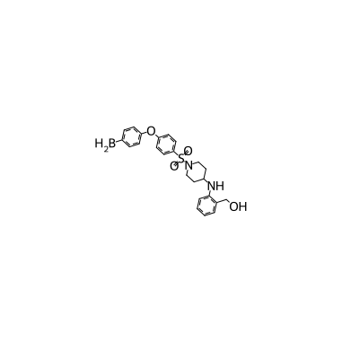 Bc1ccc(Oc2ccc(S(=O)(=O)N3CCC(Nc4ccccc4CO)CC3)cc2)cc1